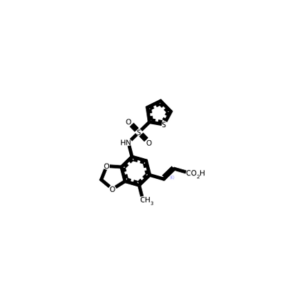 Cc1c(/C=C/C(=O)O)cc(NS(=O)(=O)c2cccs2)c2c1OCO2